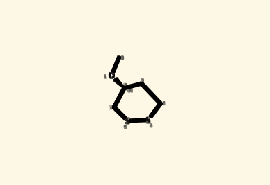 CO[C@H]1CCSSC1